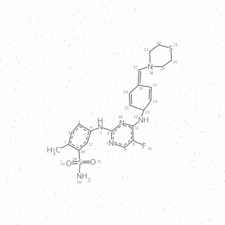 Cc1ccc(Nc2ncc(F)c(NC3C=CC(=CN4CCSCC4)C=C3)n2)cc1S(N)(=O)=O